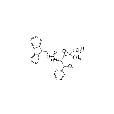 CCC(c1ccccc1)C(NC(=O)OCC1c2ccccc2-c2ccccc21)C1OC1(C)C(=O)O